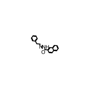 O=C(NN=CCc1ccccc1)c1ccc2ccccc2c1